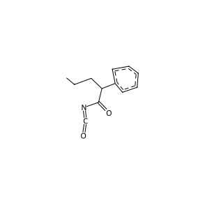 CCCC(C(=O)N=C=O)c1ccccc1